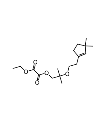 CCOC(=O)C(=O)OCC(C)(C)OCCC1=CC(C)(C)CC1